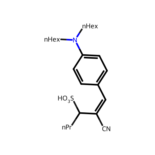 [CH2]CCC(C(C#N)=Cc1ccc(N(CCCCCC)CCCCCC)cc1)S(=O)(=O)O